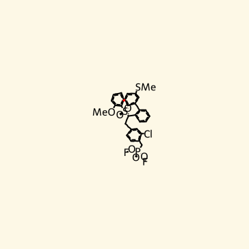 COc1ccccc1S(=O)(=O)[C](Cc1ccc(CP(=O)(OF)OF)c(Cl)c1)c1ccccc1-c1cccc(SC)c1